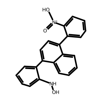 O=[N+](O)c1ccccc1-c1ccc(-c2ccccc2NO)c2ccccc12